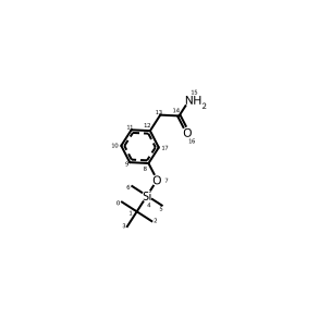 CC(C)(C)[Si](C)(C)Oc1cccc(CC(N)=O)c1